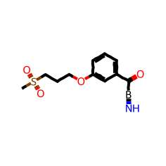 CS(=O)(=O)CCCOc1cccc(C(=O)B=N)c1